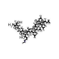 C/C=C/C[C@@H](C)[C@H](O)C(C(=O)N[C@H](CC)C(=O)N(C)CC(=O)N(C)C(C(N)=O)[C@H](C)O)N(C)C(=O)[C@@H](C(C)C)N(C)C(=O)[C@@H](CC(C)C)N(C)C(=O)[C@@H](CC(C)C)N(C)C(=O)[C@H](C)NC(=O)[C@@H](CC(C)C)NC(=O)[C@H](CC(C)C)N(C)C(=O)[C@@H](C)CC(C)C